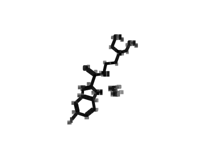 CCN(CC)CCNC(=O)c1nc2cc(I)ccc2[nH]1.Cl.Cl